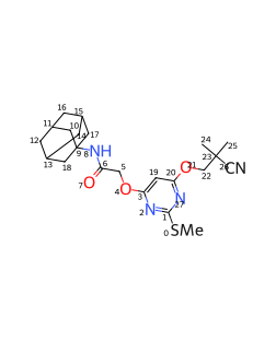 CSc1nc(OCC(=O)NC23CC4CC(CC(C4)C2)C3)cc(OCC(C)(C)C#N)n1